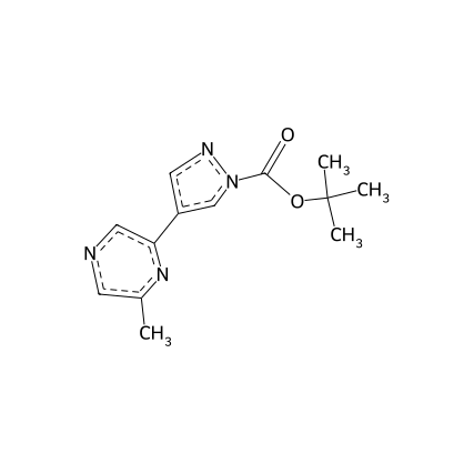 Cc1cncc(-c2cnn(C(=O)OC(C)(C)C)c2)n1